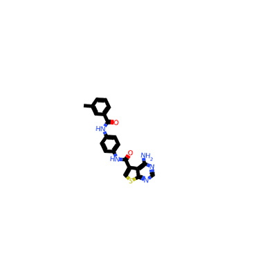 Cc1cccc(C(=O)Nc2ccc(NC(=O)c3csc4ncnc(N)c34)cc2)c1